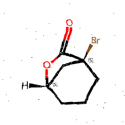 O=C1O[C@H]2CCC[C@]1(Br)C2